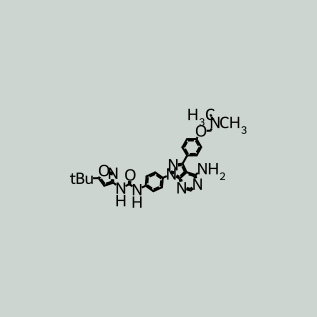 CN(C)COc1ccc(-c2nn(-c3ccc(NC(=O)Nc4cc(C(C)(C)C)on4)cc3)c3ncnc(N)c23)cc1